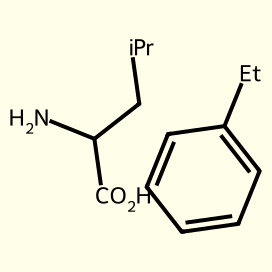 CC(C)CC(N)C(=O)O.CCc1ccccc1